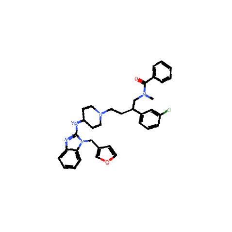 CN(CC(CCN1CCC(Nc2nc3ccccc3n2Cc2ccoc2)CC1)c1cccc(Cl)c1)C(=O)c1ccccc1